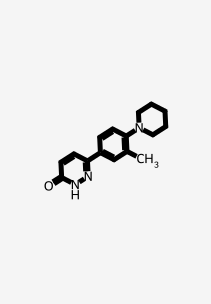 Cc1cc(-c2ccc(=O)[nH]n2)ccc1N1CCCCC1